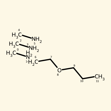 CN.CN.CN.[CH2]COCCC